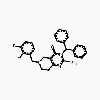 Cc1nc2c(c(=O)n1C(c1ccccc1)c1ccccc1)CN(Cc1cccc(F)c1F)CC2